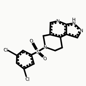 O=S(=O)(c1cc(Cl)cc(Cl)c1)N1CCc2c(cnc3[nH]ncc23)C1